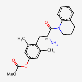 COC(=O)Oc1cc(C)c(C[C@@H](N)C(=O)N2CCCc3ccccc32)c(C)c1